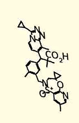 Cc1cnc2c(c1)[S+]([O-])N(Cc1cc(C(c3ccn4c(C5CC5)nnc4c3C)C(C)(C)C(=O)O)ccc1C)CC1(CC1)O2